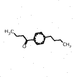 [CH2]CCC(=O)c1ccc(CCCC)cc1